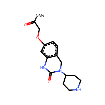 COC(=O)COc1ccc2c(c1)NC(=O)N(C1CCNCC1)C2